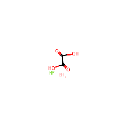 B.F.O=C(O)C(=O)O